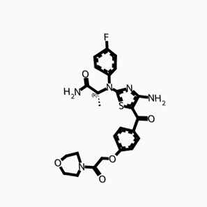 C[C@H](C(N)=O)N(c1ccc(F)cc1)c1nc(N)c(C(=O)c2ccc(OCC(=O)N3CCOCC3)cc2)s1